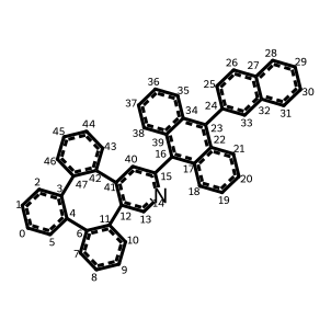 c1ccc2c(c1)-c1ccccc1-c1cnc(-c3c4ccccc4c(-c4ccc5ccccc5c4)c4ccccc34)cc1-c1ccccc1-2